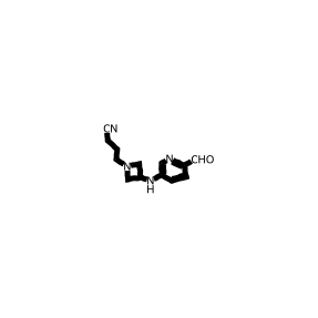 N#CCCCN1CC(Nc2ccc(C=O)nc2)C1